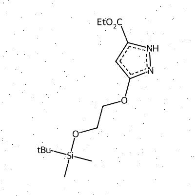 CCOC(=O)c1cc(OCCO[Si](C)(C)C(C)(C)C)n[nH]1